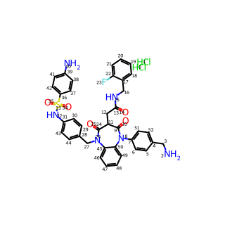 Cl.Cl.NCc1ccc(N2C(=O)C(CC(=O)NCc3ccccc3F)C(=O)N(Cc3ccc(NS(=O)(=O)c4ccc(N)cc4)cc3)c3ccccc32)cc1